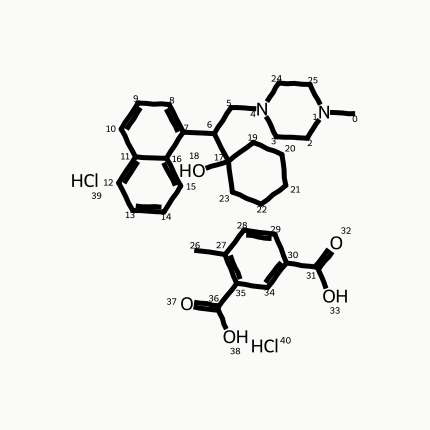 CN1CCN(CC(c2cccc3ccccc23)C2(O)CCCCC2)CC1.Cc1ccc(C(=O)O)cc1C(=O)O.Cl.Cl